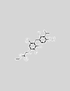 CCOC(=O)COc1cc(Cl)c(Cc2ccc(O)c(C(C)C)c2F)c(Cl)c1F